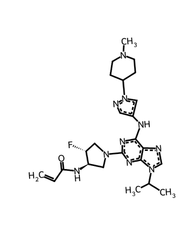 C=CC(=O)N[C@@H]1CN(c2nc(Nc3cnn(C4CCN(C)CC4)c3)c3ncn(C(C)C)c3n2)C[C@H]1F